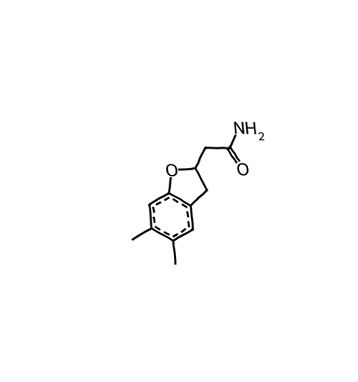 Cc1cc2c(cc1C)OC(CC(N)=O)C2